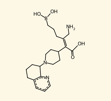 NC/C(CCCB(O)O)=C(\C(=O)O)C1CCN(C2CCCc3cccnc32)CC1